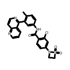 Cc1ccc(NC(=O)c2ccc(N3CCS3(=O)=O)cc2Cl)cc1-c1nccc2ncccc12